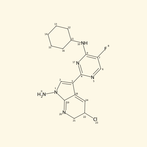 Nn1cc(-c2ncc(F)c(NC3CCCCC3)n2)c2c1=NCC(Cl)C=2